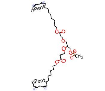 CCCCC/C=C\C/C=C\CCCCCCCCOC(=O)CCOCC(COS(C)(=O)=O)OCCC(=O)OCCCCCCCC/C=C\C/C=C\CCCCC